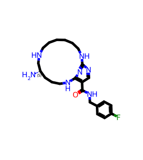 N[C@H]1CCCNc2nc(ncc2C(=O)NCc2ccc(F)cc2)NCCCCCCNC1